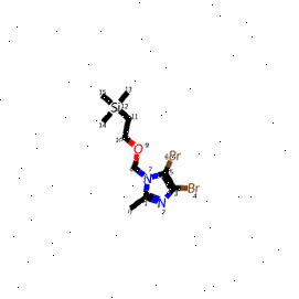 Cc1nc(Br)c(Br)n1COCC[Si](C)(C)C